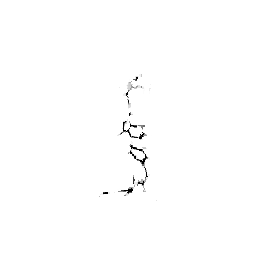 CC(C)(C)OC(=O)N[C@@H](Cc1ccc(Oc2ccnc3c2c(I)cn3COCCS(C)(C)C)cc1)C(=O)O